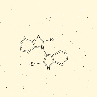 Brc1nc2ccccc2n1-n1c(Br)nc2ccccc21